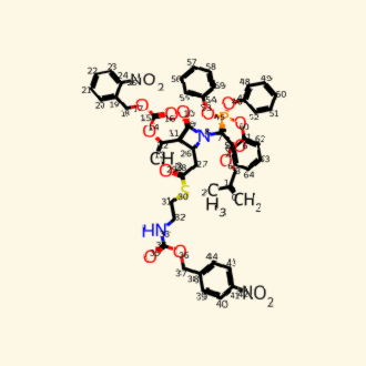 C=C(C)COC(=O)C(N1C(=O)C(C(C)OC(=O)OCc2ccccc2[N+](=O)[O-])C1CC(=O)SCCNC(=O)OCc1ccc([N+](=O)[O-])cc1)=P(Oc1ccccc1)(Oc1ccccc1)Oc1ccccc1